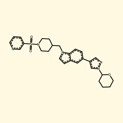 O=S(=O)(c1cccnc1)N1CCC(Cn2ccc3cc(-c4cnn(C5CCCCO5)c4)ccc32)CC1